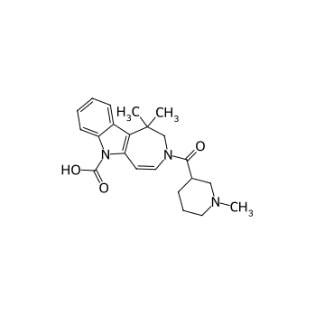 CN1CCCC(C(=O)N2C=Cc3c(c4ccccc4n3C(=O)O)C(C)(C)C2)C1